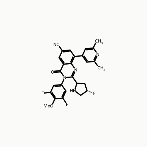 COc1c(F)cc(-n2c(C3C[C@H](F)CN3)nc3c(-c4cc(C)nc(C)c4)cc(C#N)cc3c2=O)cc1F